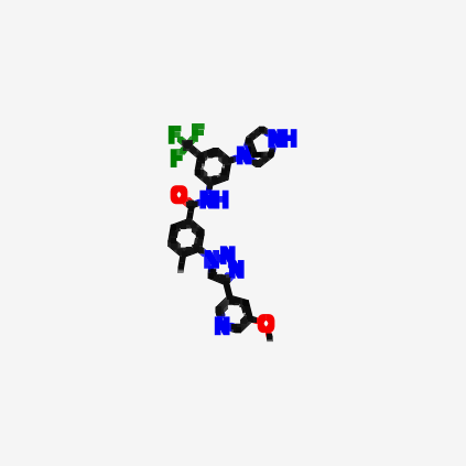 COc1cncc(-c2cn(-c3cc(C(=O)Nc4cc(N5CC6CC5CN6)cc(C(F)(F)F)c4)ccc3C)nn2)c1